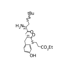 CCOC(=O)CCSC(=O)[C@@H](CC(=O)[C@@H](N)CSSC(C)(C)C)Cc1ccc(O)cc1